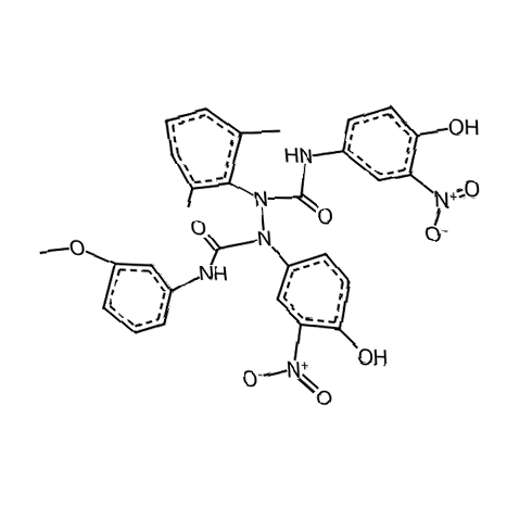 COc1cccc(NC(=O)N(c2ccc(O)c([N+](=O)[O-])c2)N(C(=O)Nc2ccc(O)c([N+](=O)[O-])c2)c2c(C)cccc2C)c1